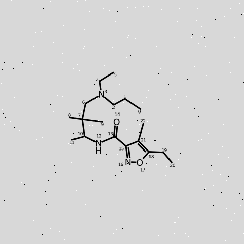 CCCN(CC)CC(C)(C)C(C)NC(=O)c1noc(CC)c1C